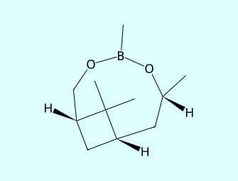 CB1OC[C@H]2C[C@@H](C[C@@H](C)O1)C2(C)C